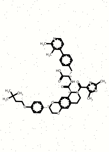 Cc1nc(C(=O)N2CCc3cc4c(cc3[C@H]2C(=O)N[C@@H](Cc2ccc(-c3ccnc(C)c3C)cc2)C(=O)O)O[C@@H](c2ccc(OCCC(C)(C)C)cc2)CO4)c(C)o1